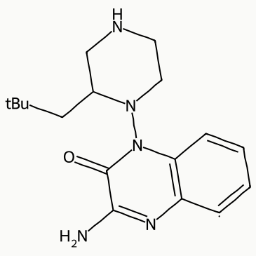 CC(C)(C)CC1CNCCN1n1c(=O)c(N)nc2[c]cccc21